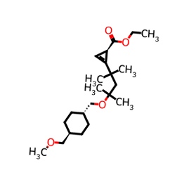 CCOC(=O)[C@@H]1C=C1C(C)(C)CC(C)(C)OC[C@H]1CC[C@H](COC)CC1